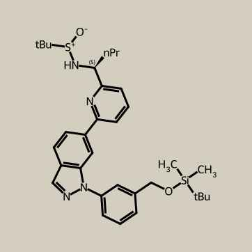 CCC[C@H](N[S+]([O-])C(C)(C)C)c1cccc(-c2ccc3cnn(-c4cccc(CO[Si](C)(C)C(C)(C)C)c4)c3c2)n1